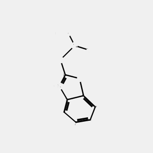 CCCCCCN(CC)Sc1nc2ccccc2s1